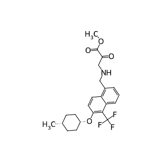 COC(=O)C(=O)CNCc1cccc2c(C(F)(F)F)c(O[C@H]3CC[C@@H](C)CC3)ccc12